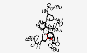 CC(C)(C)OC(=O)NC1CC(NC(=O)OC(C)(C)C)CN(c2nnnc(N3CC(NC(=O)OC(C)(C)C)CC(NC(=O)OC(C)(C)C)C3)c2Nc2ccccc2)C1